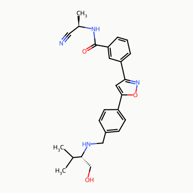 CC(C)[C@@H](CO)NCc1ccc(-c2cc(-c3cccc(C(=O)N[C@H](C)C#N)c3)no2)cc1